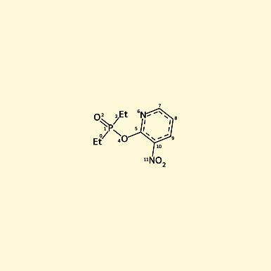 CCP(=O)(CC)Oc1ncccc1[N+](=O)[O-]